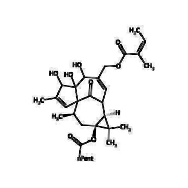 C/C=C(/C)C(=O)OCC1=CC2C(=O)C3(C=C(C)C(O)C3(O)C1O)[C@H](C)C[C@]1(OC(=O)CCCCC)[C@@H]2C1(C)C